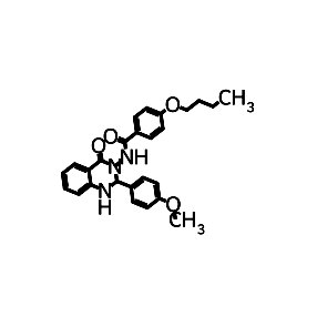 CCCCOc1ccc(C(=O)NN2C(=O)c3ccccc3NC2c2ccc(OC)cc2)cc1